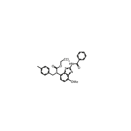 COc1ccc(N(Cc2ccc(C)cc2)C(=O)OCC(Cl)(Cl)Cl)c2sc(NC(=O)c3ccccc3)nc12